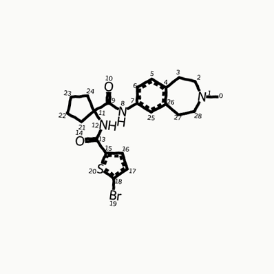 CN1CCc2ccc(NC(=O)C3(NC(=O)c4ccc(Br)s4)CCCC3)cc2CC1